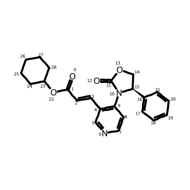 O=C(/[C]=C/c1cnccc1N1C(=O)OC[C@H]1c1ccccc1)OC1CCCCC1